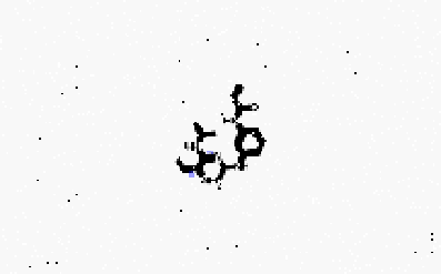 C=CC(=O)Nc1cccc(NC(C)/N=C(NC(C)C)\C(N)=C/C)c1